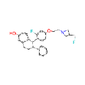 Oc1ccc2c(c1)CCC(c1ccccc1)C2c1ccc(OCCN2CC(CF)C2)cc1F